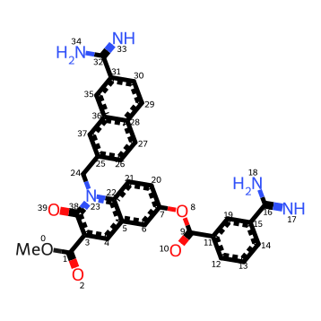 COC(=O)c1cc2cc(OC(=O)c3cccc(C(=N)N)c3)ccc2n(Cc2ccc3ccc(C(=N)N)cc3c2)c1=O